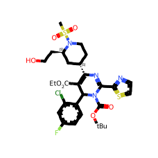 CCOC(=O)C1=C([C@H]2CCN(S(C)(=O)=O)[C@H](CCO)C2)N=C(c2nccs2)N(C(=O)OC(C)(C)C)C1c1ccc(F)cc1Cl